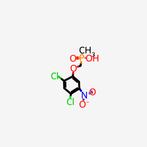 CP(=O)(O)COc1cc([N+](=O)[O-])c(Cl)cc1Cl